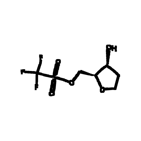 O=S(=O)(OC[C@H]1OCC[C@@H]1O)C(F)(F)F